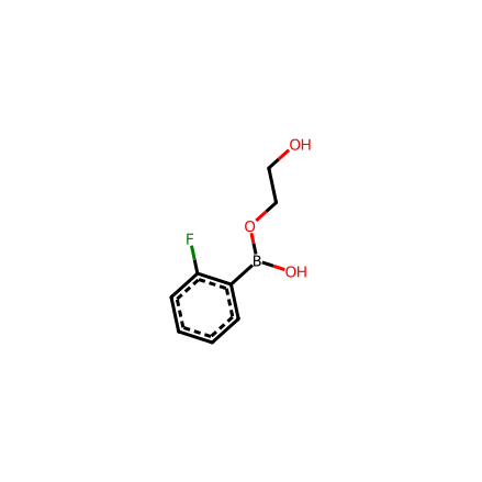 OCCOB(O)c1ccccc1F